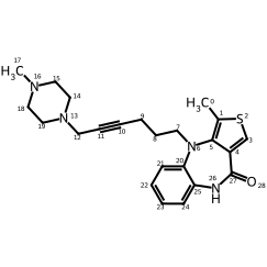 Cc1scc2c1N(CCCC#CCN1CCN(C)CC1)c1ccccc1NC2=O